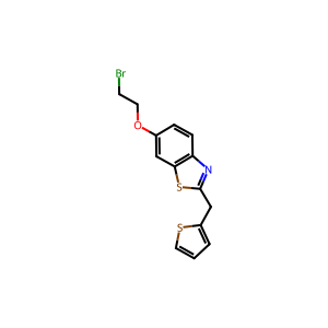 BrCCOc1ccc2nc(Cc3cccs3)sc2c1